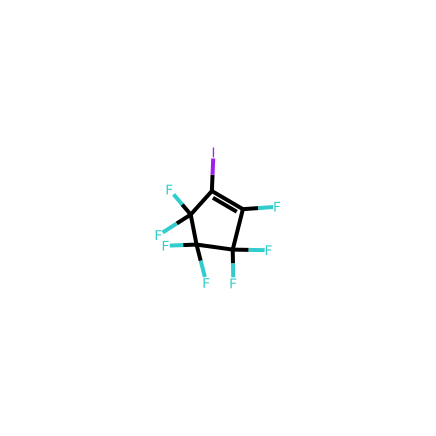 FC1=C(I)C(F)(F)C(F)(F)C1(F)F